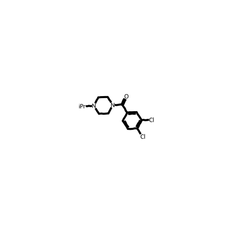 CC(C)N1CCN(C(=O)c2ccc(Cl)c(Cl)c2)CC1